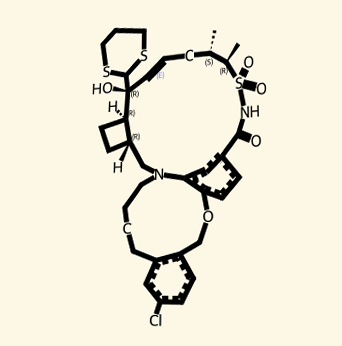 C[C@@H]1[C@@H](C)C/C=C/[C@@](O)(C2SCCCS2)[C@@H]2CC[C@H]2CN2CCCCc3cc(Cl)ccc3COc3ccc(cc32)C(=O)NS1(=O)=O